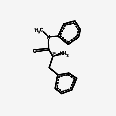 CN(C(=O)[C@@H](N)Cc1ccccc1)c1ccccc1